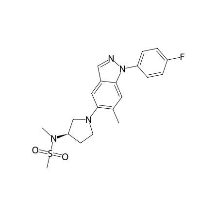 Cc1cc2c(cnn2-c2ccc(F)cc2)cc1N1CC[C@@H](N(C)S(C)(=O)=O)C1